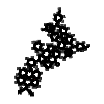 Cc1ccc(N(c2ccc(C)cc2)c2ccc3c(c2)C2(c4cc(N(c5ccc(C)cc5)c5ccc(C)cc5)ccc4-3)c3cc(C#N)ccc3-c3c(-c4ccc5c(c4)C4(c6ccccc6C(=O)c6ccccc64)c4ccc(-c6cccc(N7c8ccccc8C8(c9ccccc9C(=C(C#N)C#N)c9ccccc98)c8ccccc87)c6)cc4N5c4ccccc4)cc(C#N)cc32)cc1